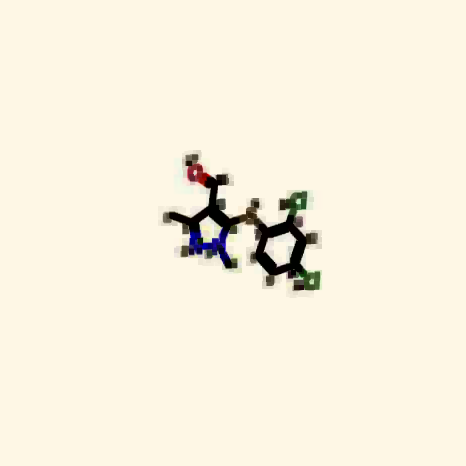 Cc1nn(C)c(Sc2ccc(Cl)cc2Cl)c1C=O